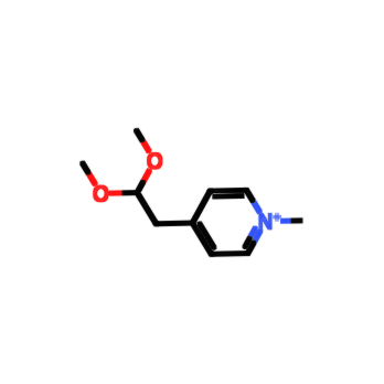 COC(Cc1cc[n+](C)cc1)OC